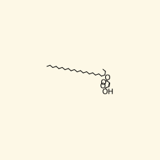 CCCCCCCCCCCCCCCCCCCC(CC)OC(=O)/C=C\C(=O)O